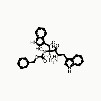 N[C@@H](Cc1c[nH]c2ccccc12)C(=O)[C@@](C(=O)O)([C@@H](O)c1c[nH]c2ccccc12)N(O)C(=O)OCc1ccccc1